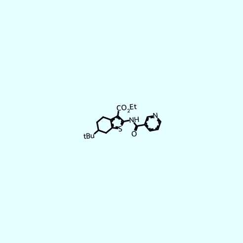 CCOC(=O)c1c(NC(=O)c2cccnc2)sc2c1CCC(C(C)(C)C)C2